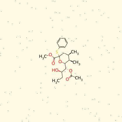 CC[C@@H](O)[C@@H](OC(C)=O)C1OC(Sc2ccccc2)(C(=O)OC)C[C@@H](C)[C@H]1C